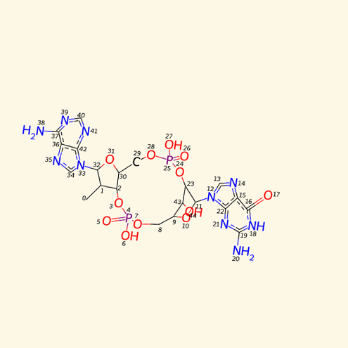 CC1C2OP(=O)(O)OCC3OC(n4cnc5c(=O)[nH]c(N)nc54)C(OP(=O)(O)OCC2OC1n1cnc2c(N)ncnc21)C3O